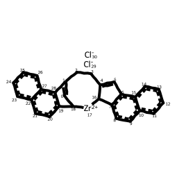 C1=C2CCC3=Cc4c(ccc5ccccc45)[CH]3[Zr+2][CH]1c1ccc3ccccc3c12.[Cl-].[Cl-]